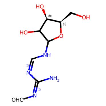 NC(/N=C\NC1O[C@H](CO)[C@H](O)C1O)=N/C=O